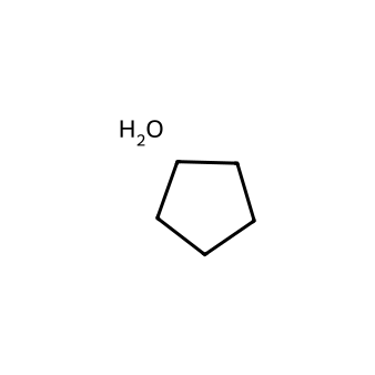 C1CCCC1.O